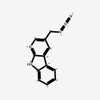 [N-]=[N+]=NCc1cnc2[nH]c3ccccc3c2c1